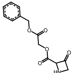 O=C(COC(=O)C1NCC1=O)OCc1ccccc1